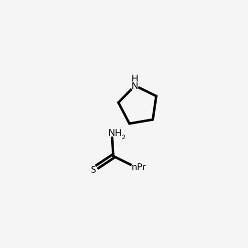 C1CCNC1.CCCC(N)=S